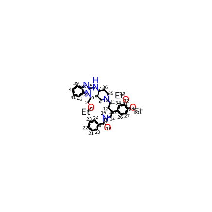 CCOCCn1c(NC2CCN(CCC(CN(C)C(=O)c3ccccc3)c3ccc(OCC)c(OCC)c3)CC2)nc2ccccc21